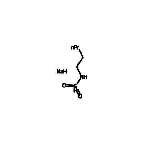 CCCCCN[SH](=O)=O.[NaH]